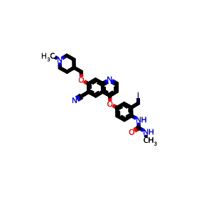 CNC(=O)Nc1ccc(Oc2ccnc3cc(OCC4CCN(C)CC4)c(C#N)cc23)cc1CI